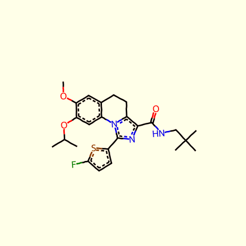 COc1cc2c(cc1OC(C)C)-n1c(-c3ccc(F)s3)nc(C(=O)NCC(C)(C)C)c1CC2